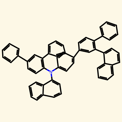 c1ccc(-c2ccc(N(c3ccc(-c4ccc(-c5ccccc5)c(-c5cccc6ccccc56)c4)cc3)c3cccc4ccccc34)c(-c3ccccc3)c2)cc1